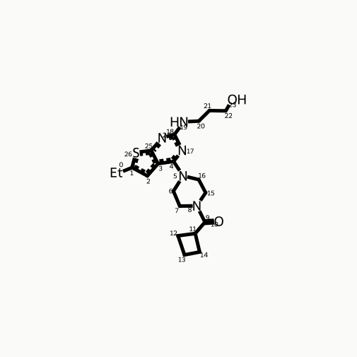 CCc1cc2c(N3CCN(C(=O)C4CCC4)CC3)nc(NCCCO)nc2s1